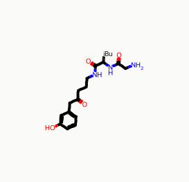 CCC(C)C(NC(=O)CN)C(=O)NCCCC(=O)Cc1cccc(O)c1